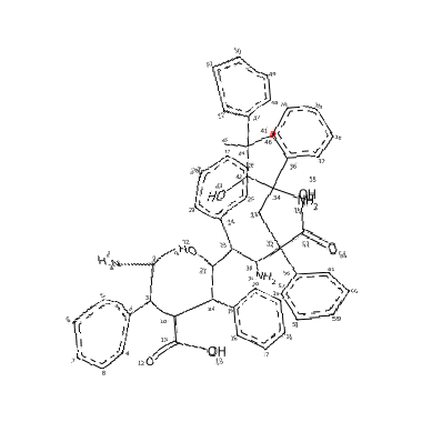 CC(N)C(c1ccccc1)C(C(=O)O)C(c1ccccc1)C(O)C(c1ccccc1)C(N)C(CC(N)(c1ccccc1)C(O)C(C)(C)c1ccccc1)(C(=O)O)c1ccccc1